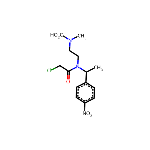 CC(c1ccc([N+](=O)[O-])cc1)N(CCN(C)C(=O)O)C(=O)CCl